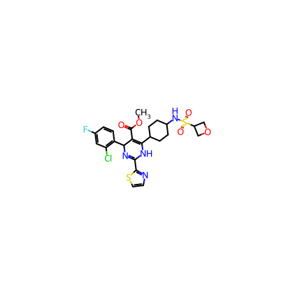 COC(=O)C1=C(C2CCC(NS(=O)(=O)C3COC3)CC2)NC(c2nccs2)=NC1c1ccc(F)cc1Cl